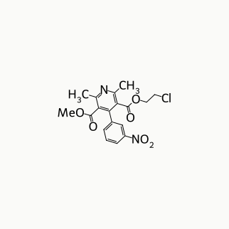 COC(=O)c1c(C)nc(C)c(C(=O)OCCCl)c1-c1cccc([N+](=O)[O-])c1